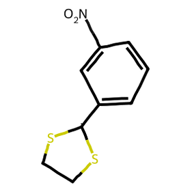 O=[N+]([O-])c1cccc([C]2SCCS2)c1